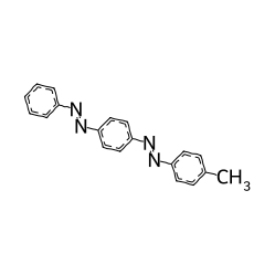 Cc1ccc(N=Nc2ccc(N=Nc3ccccc3)cc2)cc1